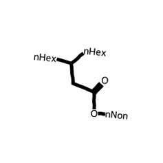 CCCCCCCCCOC(=O)CC(CCCCCC)CCCCCC